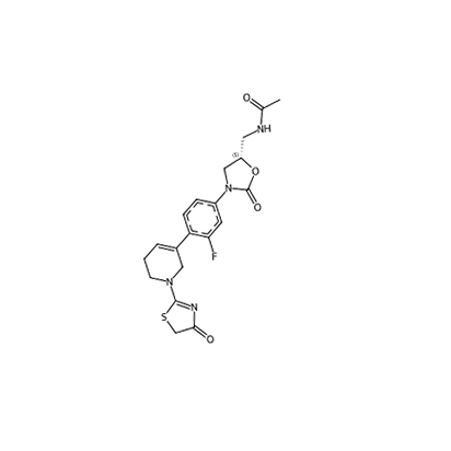 CC(=O)NC[C@H]1CN(c2ccc(C3=CCCN(C4=NC(=O)CS4)C3)c(F)c2)C(=O)O1